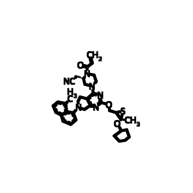 C=CC(=O)N1CCN(c2nc(OCC3S[C@]3(C)OC3CCCCC3)nc3c2CCN(c2cccc4cccc(C)c24)C3)C[C@@H]1CC#N